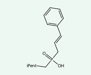 CCCC(C)CP(=O)(O)CC=Cc1ccccc1